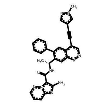 C[C@@H](NC(=O)c1c(N)nc2cccnn12)c1cc2nncc(C#Cc3cnn(C)c3)c2cc1-c1ccccc1